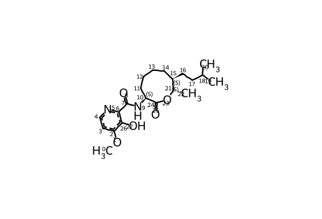 COc1ccnc(C(=O)N[C@H]2CCCC[C@@H](CCC(C)C)[C@H](C)OC2=O)c1O